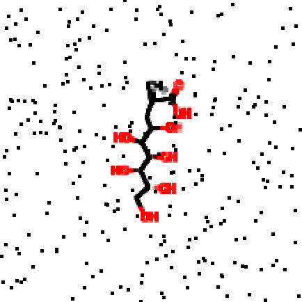 C=C(CC(O)[C@H](O)[C@@H](O)[C@H](O)[C@H](O)CO)C(=O)O